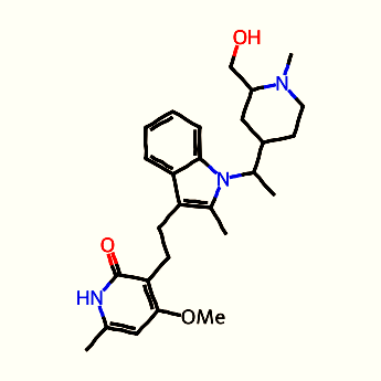 COc1cc(C)[nH]c(=O)c1CCc1c(C)n(C(C)C2CCN(C)C(CO)C2)c2ccccc12